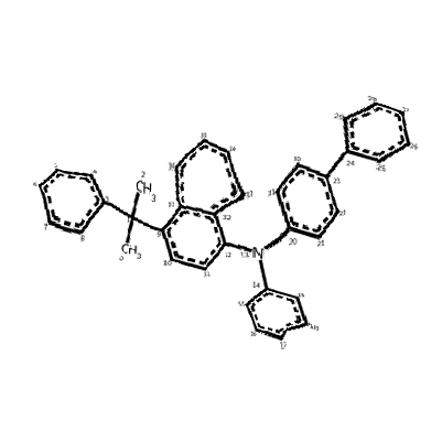 CC(C)(c1ccccc1)c1ccc(N(c2ccccc2)c2ccc(-c3ccccc3)cc2)c2ccccc12